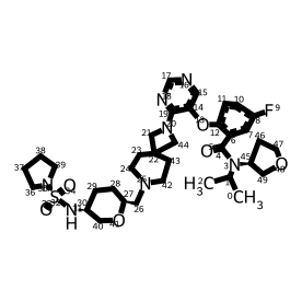 CC(C)N(C(=O)c1cc(F)ccc1Oc1cncnc1N1CC2(CCN(C[C@@H]3CC[C@@H](NS(=O)(=O)N4CCCC4)CO3)CC2)C1)[C@H]1CCOC1